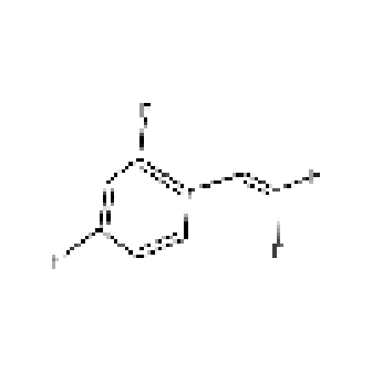 FC(F)=Cc1ccc(F)cc1F